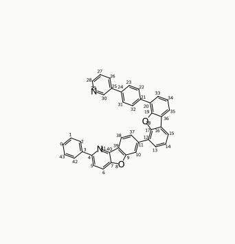 c1ccc(-c2ccc3oc4cc(-c5cccc6c5oc5c(-c7ccc(-c8cccnc8)cc7)cccc56)ccc4c3n2)cc1